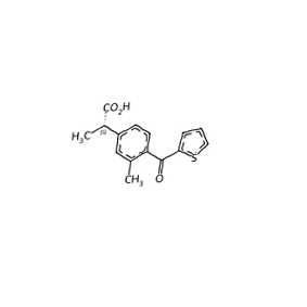 Cc1cc([C@H](C)C(=O)O)ccc1C(=O)c1cccs1